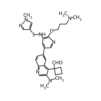 CN(C)CCCOc1ncc(-c2ccc3ncc(N(C)C)c(C4(C=O)CCC4)c3c2)cc1NSc1cnn(C)c1